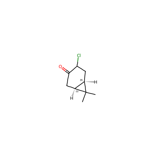 CC1(C)[C@@H]2CC(Cl)C(=O)C[C@@H]21